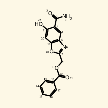 NC(=O)c1cc2nc(COC(=O)c3ccccc3)oc2cc1O